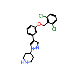 Clc1cccc(Cl)c1COc1cccc(-c2cnn(C3CCNCC3)c2)c1